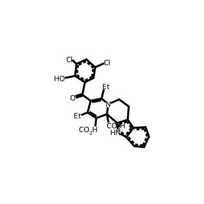 CCC1=C(C(=O)O)C2(C(=O)O)c3[nH]c4ccccc4c3CCN2C(CC)=C1C(=O)c1cc(Cl)cc(Cl)c1O